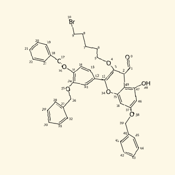 O=CC1C(OCCCCCBr)=C(c2ccc(OCc3ccccc3)c(OCc3ccccc3)c2)Oc2cc(OCc3ccccc3)cc(O)c21